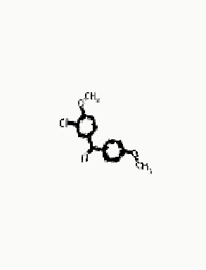 COc1ccc(C(=O)c2ccc(OC)c(Cl)c2)cc1